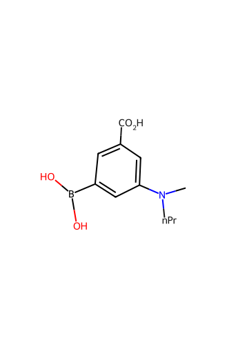 CCCN(C)c1cc(B(O)O)cc(C(=O)O)c1